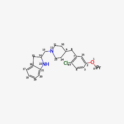 CC(C)Oc1ccc(Cl)c(CC2CCN(CC3Cc4ccccc4N3)CC2)c1